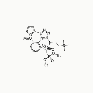 CCOP(=O)(CS(=O)(=O)N(CCS(C)(C)C)c1nnc(-c2ccco2)n1-c1c(OC)cccc1OC)OCC